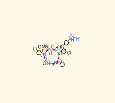 COC[C@@H]1NC(=O)[C@H](CC(F)(F)F)N(Cc2ccc(Cl)cc2Oc2ccc(-c3cnc(CN(C)C)n3C)cc2)C(=O)C[C@@H](Cc2ccccc2)C(=O)N(C)[C@@H](C)CNC(=O)C[C@H](Cc2ccc(Cl)cc2)N(C)C1=O